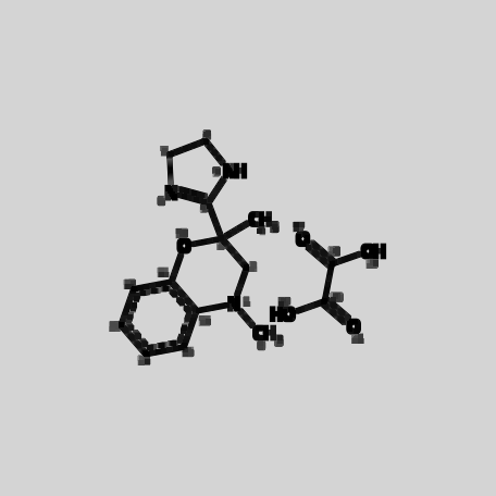 CN1CC(C)(C2=NCCN2)Oc2ccccc21.O=C(O)C(=O)O